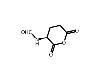 O=CN[C@H]1CCC(=O)OC1=O